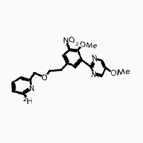 [2H]c1cccc(COCCc2cc(-c3ncc(OC)cn3)c(OC)c([N+](=O)[O-])c2)n1